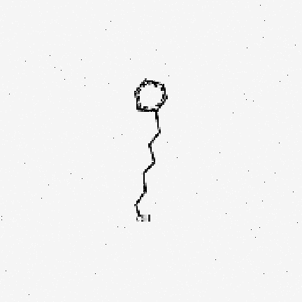 OCCCCCCc1cc[c]cc1